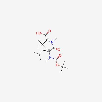 CC(C)C[C@@H](C(=O)N(C)[C@@H](C(=O)O)C(C)(C)C)N(C)C(=O)OC(C)(C)C